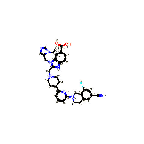 CCn1cncc1Cn1c(CN2CCC(c3cccc(N4CCc5cc(C#N)cc(F)c5C4)n3)CC2)nc2ccc(C(=O)O)cc21